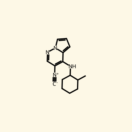 [C-]#[N+]c1cnn2cccc2c1NC1CCCCC1C